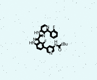 CC(C)(C)C(=O)Nc1cncc(-c2ccc3[nH]nc(-c4nc5c(-c6ccccc6F)nccc5[nH]4)c3c2F)c1